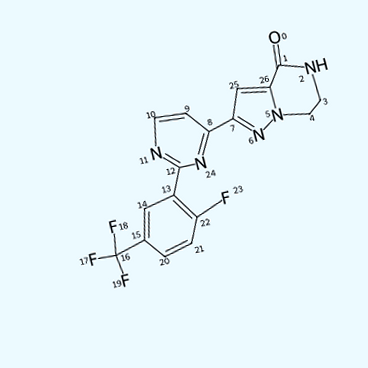 O=C1NCCn2nc(-c3ccnc(-c4cc(C(F)(F)F)ccc4F)n3)cc21